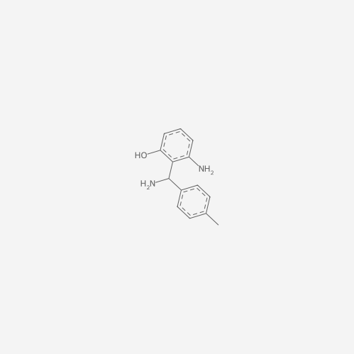 Cc1ccc(C(N)c2c(N)cccc2O)cc1